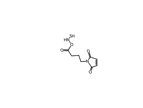 O=C(CCCN1C(=O)C=CC1=O)ONS